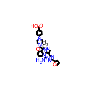 CC(C(=O)N1CCN(c2ccc(C(=O)O)cc2)CC1)(c1ccccc1)n1ncc2c1nc(N)n1nc(-c3ccco3)nc21